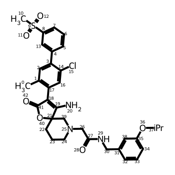 Cc1cc(-c2cccc(S(C)(=O)=O)c2)c(Cl)cc1C1=C(N)C2(CCCN(CC(=O)NCc3cccc(OC(C)C)c3)C2)OC1=O